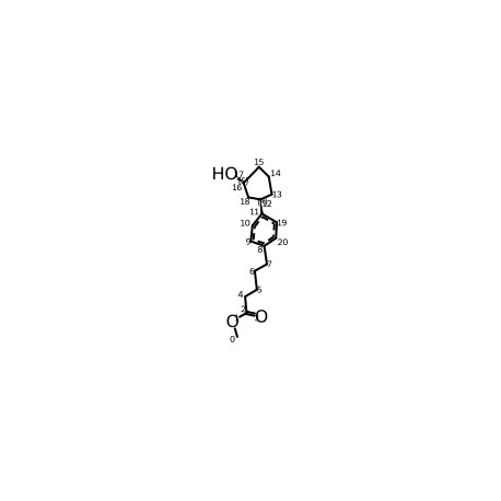 COC(=O)CCCCc1ccc([C@@H]2CCC[C@H](O)C2)cc1